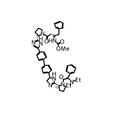 CCN(CC)[C@@H](C(=O)N1CCC[C@H]1C1=NCC(c2ccc(-c3ccc(-c4cnc([C@@H]5CCCN5C(=O)C[C@H](Cc5ccccc5)NC(=O)OC)[nH]4)cc3)cc2)N1)c1ccccc1